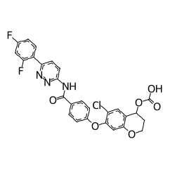 O=C(O)OC1CCOc2cc(Oc3ccc(C(=O)Nc4ccc(-c5ccc(F)cc5F)nn4)cc3)c(Cl)cc21